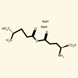 N[C@@H](CCC(=O)OC(=O)CC[C@H](N)C(=O)O)C(=O)O.[NaH].[NaH]